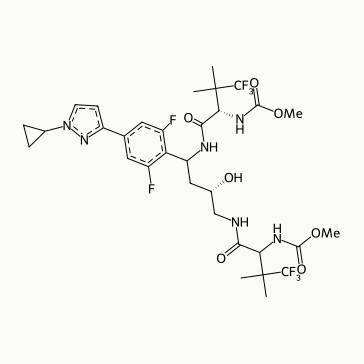 COC(=O)NC(C(=O)NC[C@@H](O)CC(NC(=O)[C@@H](NC(=O)OC)C(C)(C)C(F)(F)F)c1c(F)cc(-c2ccn(C3CC3)n2)cc1F)C(C)(C)C(F)(F)F